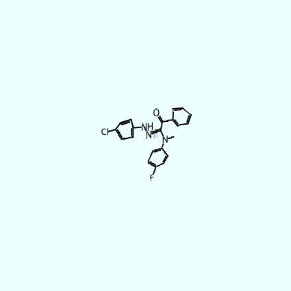 CN(/C(=N/Nc1ccc(Cl)cc1)C(=O)c1ccccc1)c1ccc(F)cc1